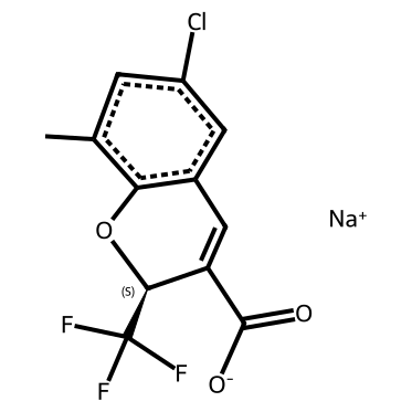 Cc1cc(Cl)cc2c1O[C@H](C(F)(F)F)C(C(=O)[O-])=C2.[Na+]